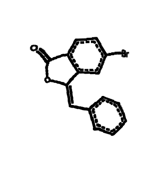 O=C1O/C(=C/c2ccccc2)c2cc(Br)ccc21